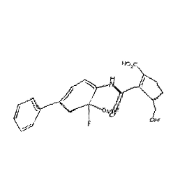 COC1(F)CC(c2ccccc2)=CC=C1NC(=O)C1=C(C(=O)O)CCC1O